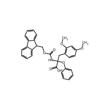 COc1ccc(CC(NC(=O)OCC2c3ccccc3-c3ccccc32)(Oc2ccccc2)C(=O)O)c(OC)c1